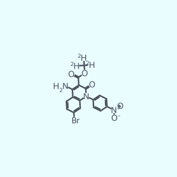 [2H]C([2H])([2H])OC(=O)c1c(N)c2ccc(Br)cc2n(-c2ccc([N+](=O)[O-])cc2)c1=O